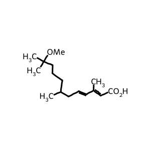 COC(C)(C)CCCC(C)C/C=C/C(C)=C/C(=O)O